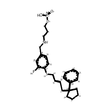 O=[PH](O)OCCCNCc1ccc(SCCCCC2(c3ccccc3)CCCC2)c(F)c1